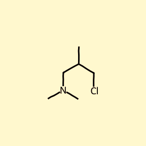 CC(CCl)CN(C)C